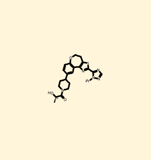 CC(C)n1ncnc1-c1nc2c(s1)CCOc1ccc(C3CCN(C(=O)[C@@H](C)O)CC3)cc1-2